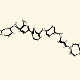 Nc1cc(-c2ccnc(Nc3ccc(OCCCN4CCOCC4)cc3)n2)ccc1OC1CCOCC1